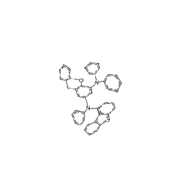 c1ccc(N(c2ccccc2)c2cc(N(c3ccccc3)c3cccc4sc5ccccc5c34)cc3c2Oc2ccccc2S3)cc1